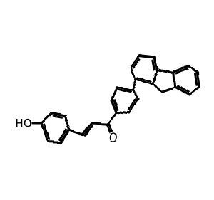 O=C(C=Cc1ccc(O)cc1)c1ccc(-c2cccc3c2Cc2ccccc2-3)cc1